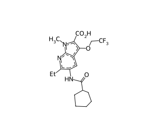 CCc1nc2c(cc1NC(=O)C1CCCCC1)c(OCC(F)(F)F)c(C(=O)O)n2C